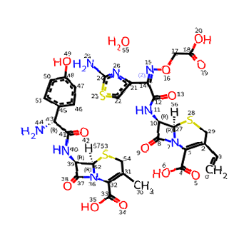 C=CC1=C(C(=O)O)N2C(=O)[C@@H](NC(=O)/C(=N\OCC(=O)O)c3csc(N)n3)[C@H]2SC1.CC1=C(C(=O)O)N2C(=O)[C@@H](NC(=O)[C@H](N)c3ccc(O)cc3)[C@H]2SC1.O